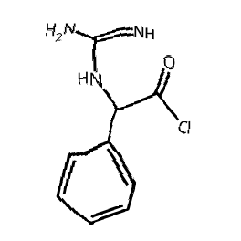 N=C(N)NC(C(=O)Cl)c1ccccc1